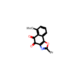 COc1cccc2c1C(=O)C(=O)c1nc(C(C)C)oc1-2